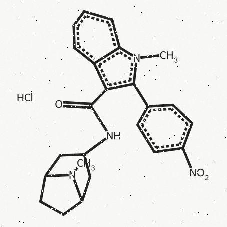 CN1C2CCC1CC(NC(=O)c1c(-c3ccc([N+](=O)[O-])cc3)n(C)c3ccccc13)C2.Cl